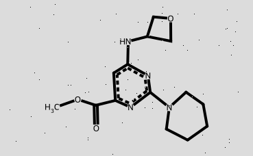 COC(=O)c1cc(NC2COC2)nc(N2CCCCC2)n1